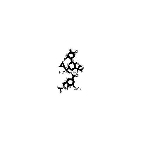 COc1cc(C(=O)NC[C@](O)(c2cc(C3(O)COC3)c(F)c(-c3cc(Cl)c(F)cc3F)n2)C2CC2)cc2cn(C(F)F)nc12